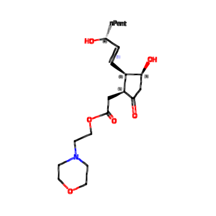 CCCCC[C@@H](O)/C=C/[C@@H]1[C@H](CC(=O)OCCN2CCOCC2)C(=O)C[C@@H]1O